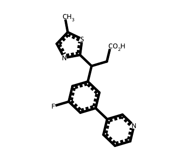 Cc1cnc(C(CC(=O)O)c2cc(F)cc(-c3cccnc3)c2)s1